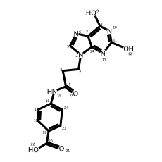 O=C(CCn1cnc2c(O)nc(O)nc21)Nc1ccc(C(=O)O)cc1